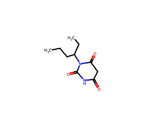 CCCC(CC)N1C(=O)CC(=O)NC1=O